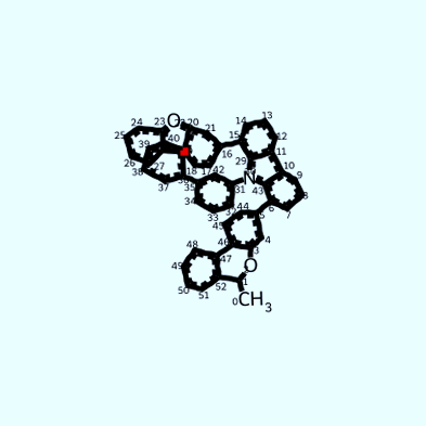 CC1Oc2cc(-c3cccc4c5cccc(-c6ccc7c(c6)oc6ccccc67)c5n(-c5cccc(-c6ccccc6)c5)c34)ccc2-c2ccccc21